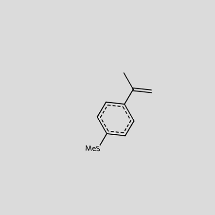 C=C(C)c1ccc(SC)cc1